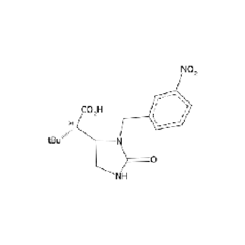 CC(C)(C)[C@H](C(=O)O)C1CNC(=O)N1Cc1cccc([N+](=O)[O-])c1